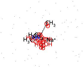 COC(=O)CCCCCCCCO[C@@H]1O[C@H](CO)[C@@H](O[C@@H]2O[C@H](CO)[C@H](O)[C@H](OS(=O)(=O)[O-])[C@H]2O)[C@H](O[C@@H]2O[C@@H](C)[C@@H](O)[C@@H](OC)[C@@H]2O)[C@H]1NC(C)=O.[Na+]